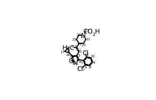 C/C(=C\c1c(-c2c(Cl)cccc2Cl)noc1C1CC1)C1CCN(C(=O)O)CC1